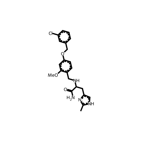 COc1cc(OCc2cccc(Cl)c2)ccc1CNC(Cc1c[nH]c(C)n1)C(N)=O